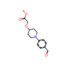 COC(=O)COC1CCN(c2ccc(C=O)cc2)CC1